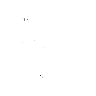 CCC(=O)O[CH]c1ccccn1